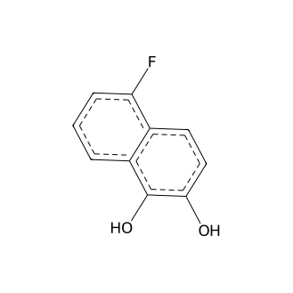 Oc1ccc2c(F)cccc2c1O